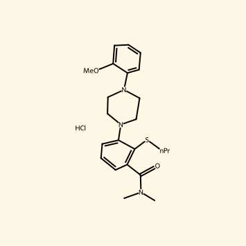 CCCSc1c(C(=O)N(C)C)cccc1N1CCN(c2ccccc2OC)CC1.Cl